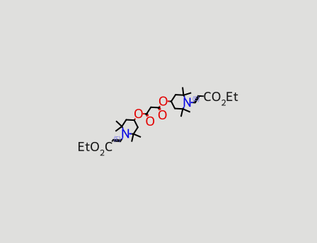 CCOC(=O)/C=C/N1C(C)(C)CC(OC(=O)CC(=O)OC2CC(C)(C)N(/C=C/C(=O)OCC)C(C)(C)C2)CC1(C)C